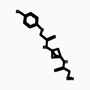 CNCC(=O)NC12CC(NC(=O)COc3ccc(Cl)cc3)(C1)C2